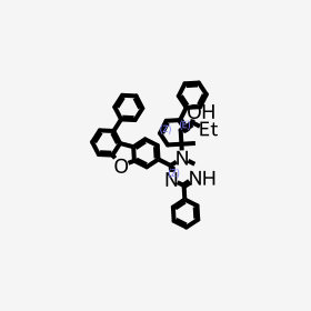 C=C(/C=C\CC(C)(/C=C(/O)CC)N(C)/C(=N\C(=N)c1ccccc1)c1ccc2c(c1)oc1cccc(-c3ccccc3)c12)c1ccccc1